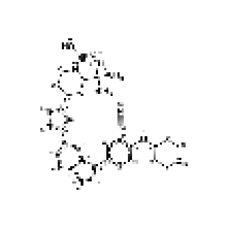 CC(C)(C)C1CC(n2cc(-c3cnc4[nH]cc(-c5ccc(OC6CCOCC6)c(C#N)c5)c4c3)nn2)CCN1C(=O)O